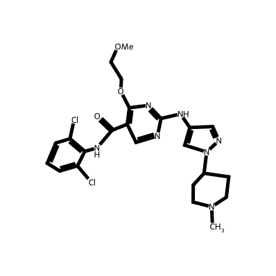 COCCOc1nc(Nc2cnn(C3CCN(C)CC3)c2)ncc1C(=O)Nc1c(Cl)cccc1Cl